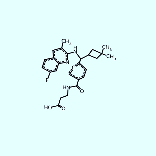 Cc1cc2ccc(F)cc2nc1NC(c1ccc(C(=O)NCCC(=O)O)cc1)C1CC(C)(C)C1